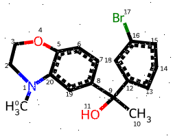 CN1CCOc2ccc(C(C)(O)c3cccc(Br)c3)cc21